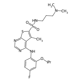 Cc1c(S(=O)(=O)NCCCN(C)C)sc2ncnc(Nc3ccc(F)cc3OC(C)C)c12